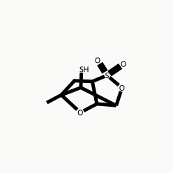 CC12CC3C(O1)C(OS3(=O)=O)C2S